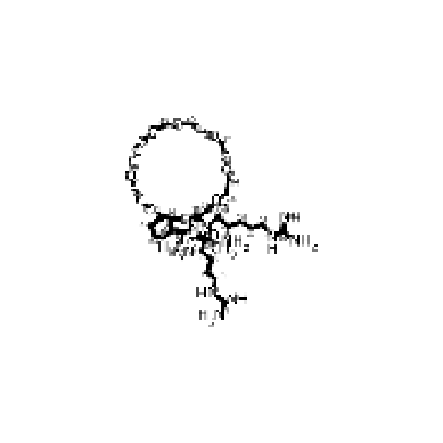 CC(=O)N(C(=O)[C@@H](N)CCCNC(=N)N)C1(N(C(C)=O)C(=O)[C@@H](N)CCCNC(=N)N)COCCOCCOCCOCCOCCOCCOc2ccccc2O1